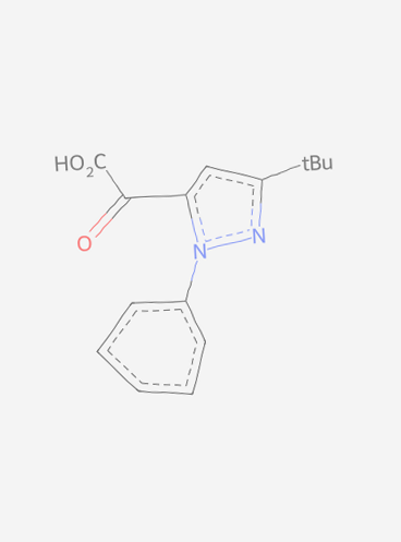 CC(C)(C)c1cc(C(=O)C(=O)O)n(-c2ccccc2)n1